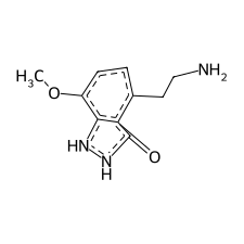 COc1ccc(CCN)c2c(=O)[nH][nH]c12